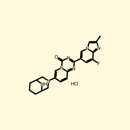 Cc1cn2cc(-c3nc(=O)n4cc(N5CC6CCCC(C5)N6)ccc4n3)cc(F)c2n1.Cl